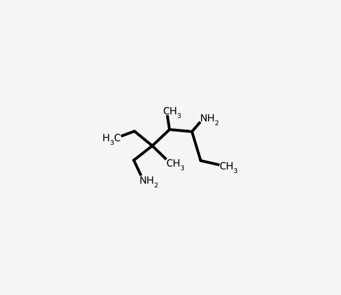 CCC(N)C(C)C(C)(CC)CN